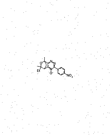 CCC1(C)OC2(C)CCC1c1c2nnc(-c2ccc([N+](=O)[O-])cc2)[n+]1[O-]